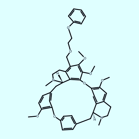 COc1ccc2cc1Oc1ccc(cc1)C[C@H]1c3cc(c(OC)cc3CCN1C)Oc1c(OC)c(OC)c(COCCOc3ccccc3)c3c1[C@H](C2)N(C)CC3